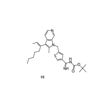 CC=C(CCCCC)c1c(C)n(Cc2cc(C(=N)NC(=O)OC(C)(C)C)cs2)c2cnccc12.I